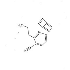 CCCc1ncccc1C#N.c1cc2ccc1-2